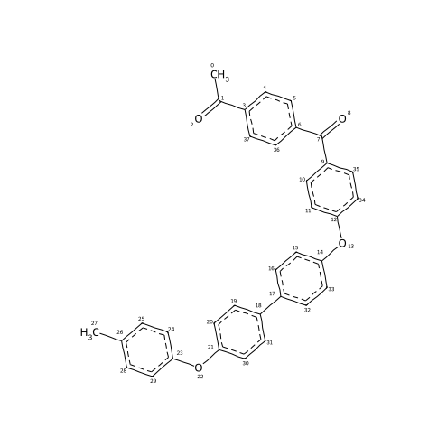 CC(=O)c1ccc(C(=O)c2ccc(Oc3ccc(-c4ccc(Oc5ccc(C)cc5)cc4)cc3)cc2)cc1